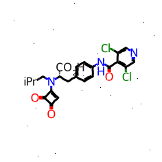 CC(C)CN(c1cc(=O)c1=O)[C@@H](Cc1ccc(NC(=O)c2c(Cl)cncc2Cl)cc1)C(=O)O